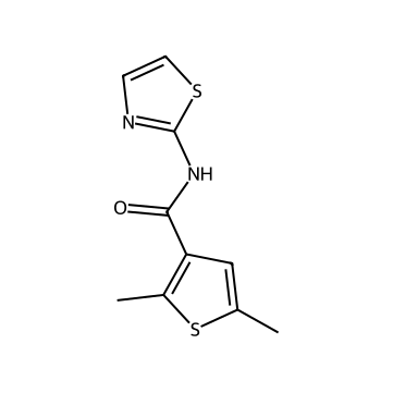 Cc1cc(C(=O)Nc2nccs2)c(C)s1